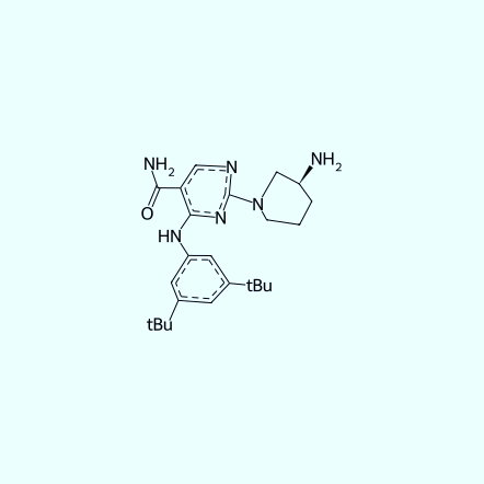 CC(C)(C)c1cc(Nc2nc(N3CCC[C@H](N)C3)ncc2C(N)=O)cc(C(C)(C)C)c1